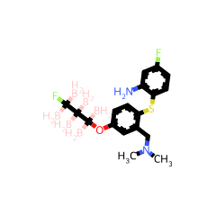 BC(B)(F)C(B)(B)C(B)(B)Oc1ccc(Sc2ccc(F)cc2N)c(CN(C)C)c1